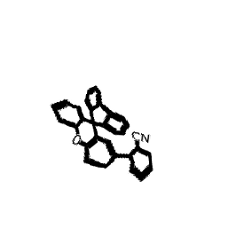 N#CC1=CC=C=CC1c1ccc2c(c1)C1(c3ccccc3O2)c2ccccc2-c2ccccc21